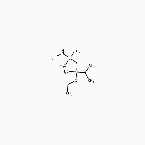 CCO[Si](C)(O[Si](C)(C)NC)C(C)C